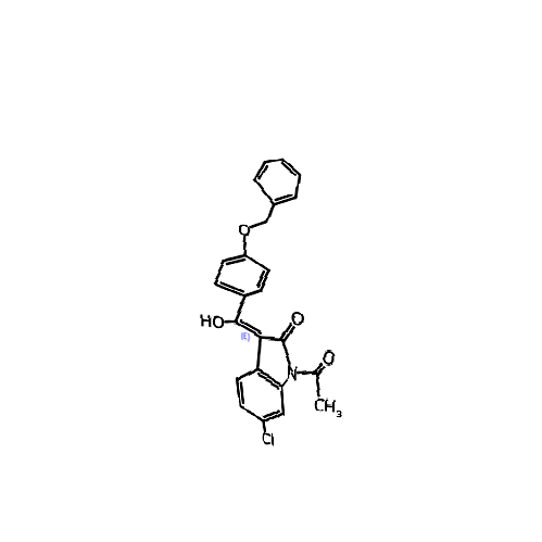 CC(=O)N1C(=O)/C(=C(/O)c2ccc(OCc3ccccc3)cc2)c2ccc(Cl)cc21